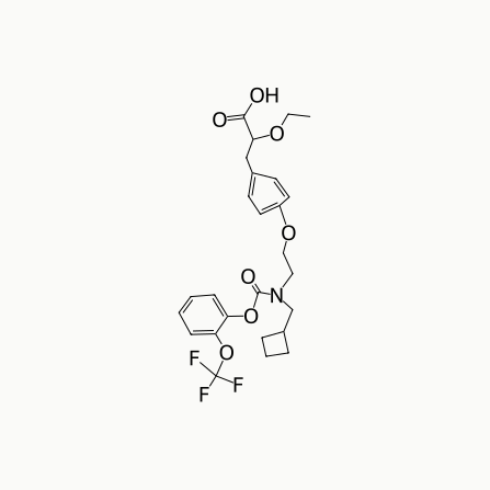 CCOC(Cc1ccc(OCCN(CC2CCC2)C(=O)Oc2ccccc2OC(F)(F)F)cc1)C(=O)O